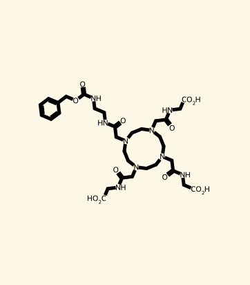 O=C(O)CNC(=O)CN1CCN(CC(=O)NCCNC(=O)OCc2ccccc2)CCN(CC(=O)NCC(=O)O)CCN(CC(=O)NCC(=O)O)CC1